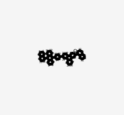 c1ccc2c(-c3c4ccccc4c(-c4ccc(-c5ccc6c(c5)c5ccccc5c5cc7c(cc65)oc5ccc6ccccc6c57)cc4)c4ccccc34)cccc2c1